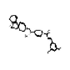 O=C(/C=C/c1cc(F)cc(F)c1)N1CCC(C(O)CN2CCC3(CC2)CNC2=C3C=CCC2)CC1